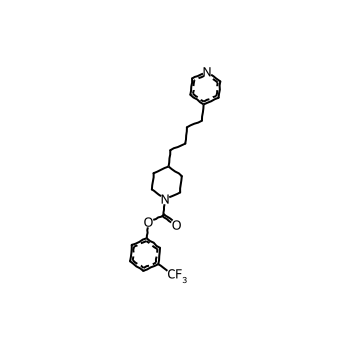 O=C(Oc1cccc(C(F)(F)F)c1)N1CCC(CCCCc2ccncc2)CC1